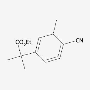 CCOC(=O)C(C)(C)C1=CC(C)C(C#N)=C=C1